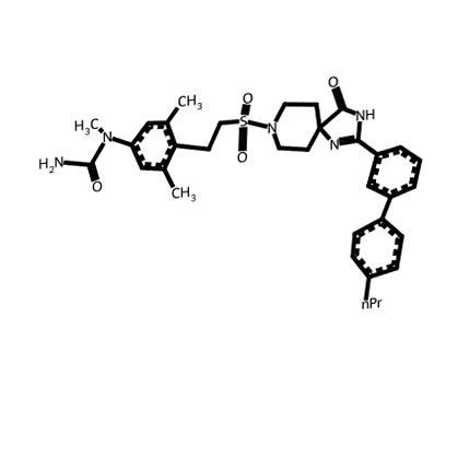 CCCc1ccc(-c2cccc(C3=NC4(CCN(S(=O)(=O)CCc5c(C)cc(N(C)C(N)=O)cc5C)CC4)C(=O)N3)c2)cc1